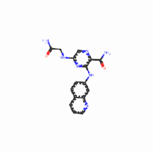 NC(=O)CNc1cnc(C(N)=O)c(Nc2ccc3cccnc3c2)n1